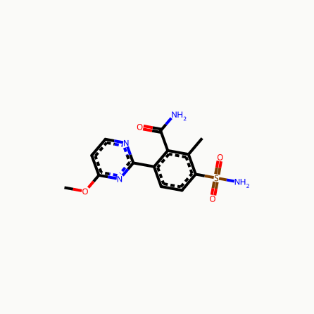 COc1ccnc(-c2ccc(S(N)(=O)=O)c(C)c2C(N)=O)n1